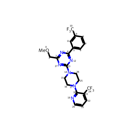 COCc1nc(-c2cccc(C(F)(F)F)c2)nc(N2CCN(c3ncccc3C(F)(F)F)CC2)n1